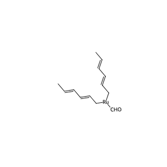 CC=CC=C[CH2][Ru]([CH]=O)[CH2]C=CC=CC